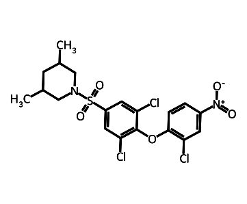 CC1CC(C)CN(S(=O)(=O)c2cc(Cl)c(Oc3ccc([N+](=O)[O-])cc3Cl)c(Cl)c2)C1